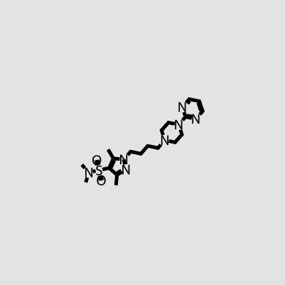 Cc1nn(CCCCN2CCN(c3ncccn3)CC2)c(C)c1S(=O)(=O)N(C)C